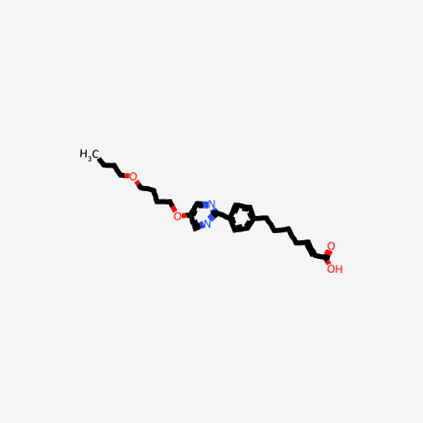 CCCCOCCCCOc1cnc(-c2ccc(CCCC/C=C/C(=O)O)cc2)nc1